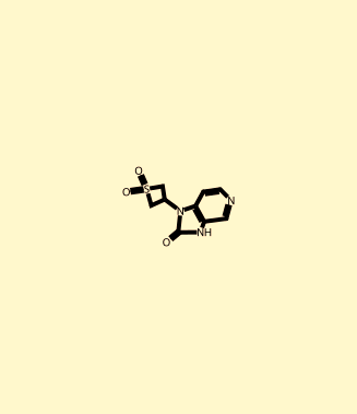 O=c1[nH]c2cnccc2n1C1CS(=O)(=O)C1